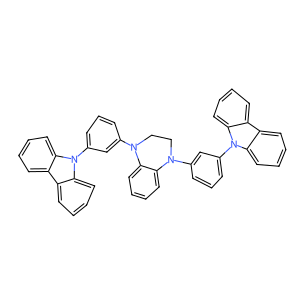 c1cc(N2CCN(c3cccc(-n4c5ccccc5c5ccccc54)c3)c3ccccc32)cc(-n2c3ccccc3c3ccccc32)c1